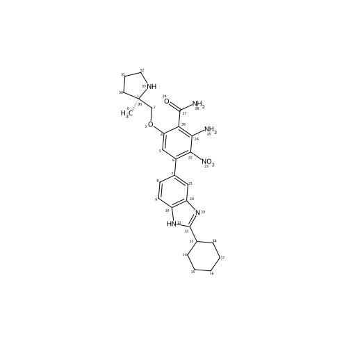 C[C@]1(COc2cc(-c3ccc4[nH]c(C5CCCCC5)nc4c3)c([N+](=O)[O-])c(N)c2C(N)=O)CCCN1